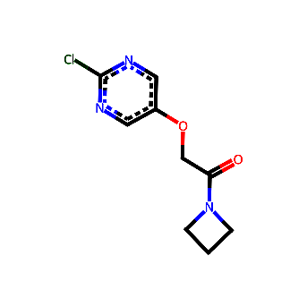 O=C(COc1cnc(Cl)nc1)N1CCC1